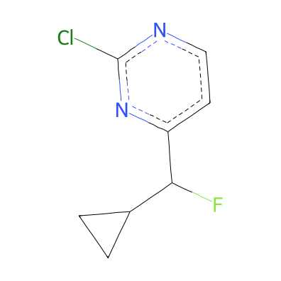 FC(c1ccnc(Cl)n1)C1CC1